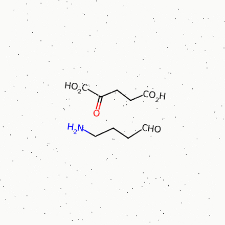 NCCCC=O.O=C(O)CCC(=O)C(=O)O